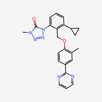 Cc1cc(-c2ncccn2)ccc1OCc1c(C2CC2)cccc1-n1nnn(C)c1=O